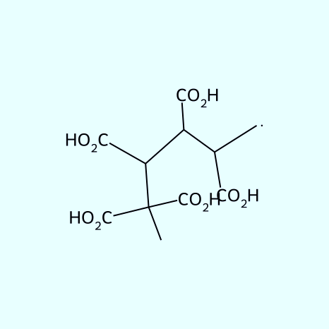 [CH2]C(C(=O)O)C(C(=O)O)C(C(=O)O)C(C)(C(=O)O)C(=O)O